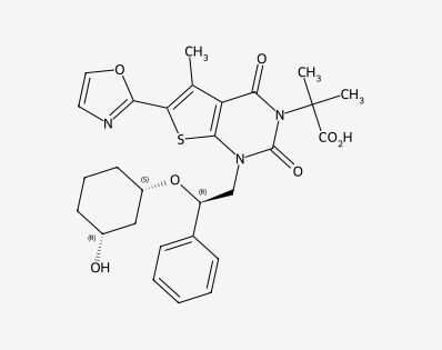 Cc1c(-c2ncco2)sc2c1c(=O)n(C(C)(C)C(=O)O)c(=O)n2C[C@H](O[C@H]1CCC[C@@H](O)C1)c1ccccc1